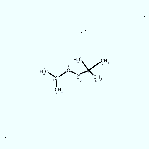 C[Si](C)O[SiH2]C(C)(C)C